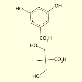 CC(CO)(CO)C(=O)O.O=C(O)c1cc(O)cc(O)c1